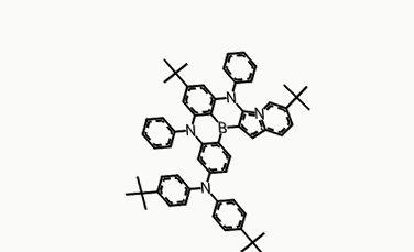 CC(C)(C)c1ccc(N(c2ccc(C(C)(C)C)cc2)c2ccc3c(c2)N(c2ccccc2)c2cc(C(C)(C)C)cc4c2B3c2cc3ccc(C(C)(C)C)cn3c2N4c2ccccc2)cc1